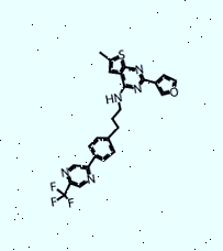 Cc1cc2c(NCCCc3ccc(-c4cnc(C(F)(F)F)cn4)cc3)nc(-c3ccoc3)nc2s1